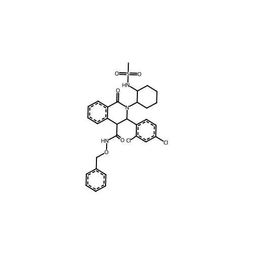 CS(=O)(=O)NC1CCCCC1N1C(=O)c2ccccc2C(C(=O)NOCc2ccccc2)C1c1ccc(Cl)cc1Cl